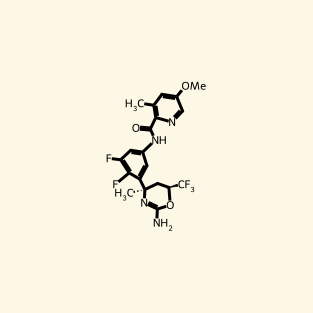 COc1cnc(C(=O)Nc2cc(F)c(F)c([C@@]3(C)C[C@@H](C(F)(F)F)OC(N)=N3)c2)c(C)c1